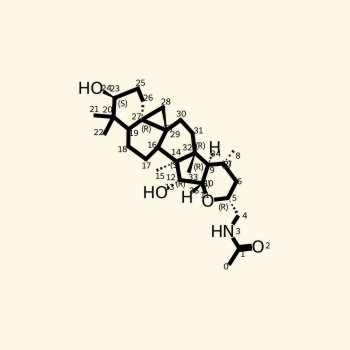 CC(=O)NC[C@H]1C[C@@H](C)[C@H]2[C@H](O1)[C@H](O)[C@@]1(C)C3CCC4C(C)(C)[C@@H](O)CC[C@@]45C[C@@]35CC[C@]21C